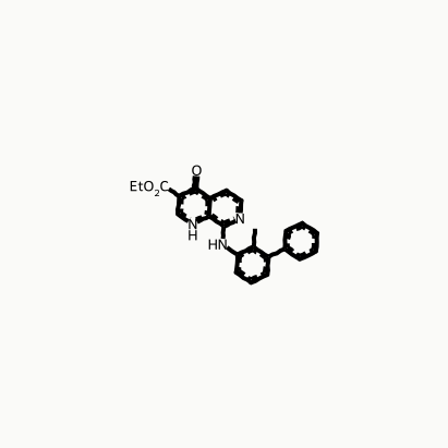 CCOC(=O)c1c[nH]c2c(Nc3cccc(-c4ccccc4)c3C)nccc2c1=O